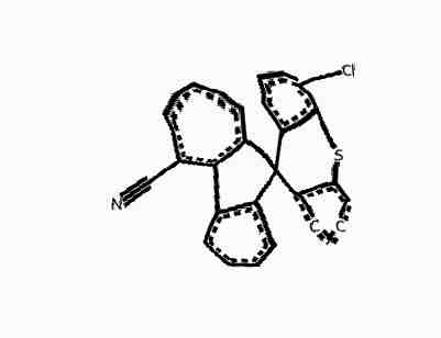 N#Cc1cccc2c1-c1ccccc1C21c2ccccc2Sc2c(Cl)cccc21